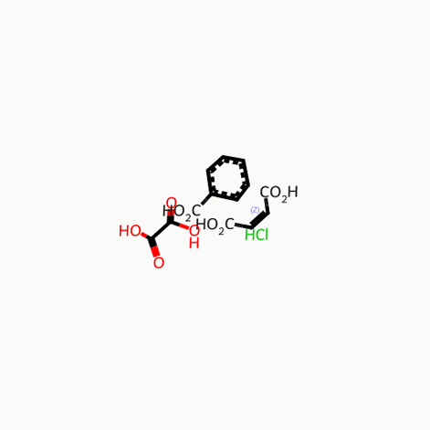 Cl.O=C(O)/C=C\C(=O)O.O=C(O)C(=O)O.O=C(O)c1ccccc1